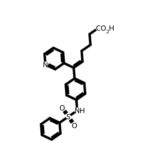 O=C(O)CCCC=C(c1ccc(NS(=O)(=O)c2ccccc2)cc1)c1cccnc1